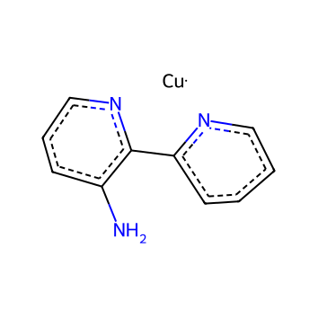 Nc1cccnc1-c1ccccn1.[Cu]